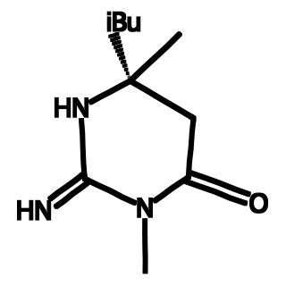 CCC(C)[C@]1(C)CC(=O)N(C)C(=N)N1